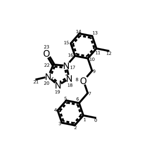 Cc1ccccc1COCc1c(C)cccc1-n1nnn(C)c1=O